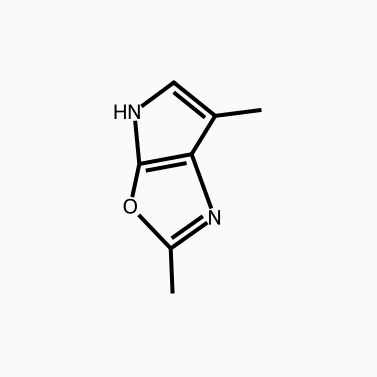 Cc1nc2c(C)c[nH]c2o1